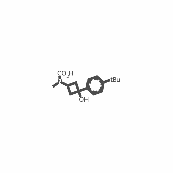 CN(C(=O)O)C1CC(O)(c2ccc(C(C)(C)C)cc2)C1